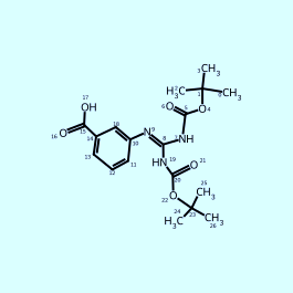 CC(C)(C)OC(=O)NC(=Nc1cccc(C(=O)O)c1)NC(=O)OC(C)(C)C